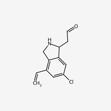 C=Cc1cc(Cl)cc2c1CNC2CC=O